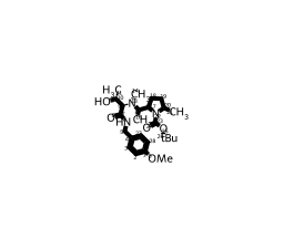 COc1ccc(CNC(=O)[C@H]([C@@H](C)O)N(C)C(C)C2CCC(C)N2C(=O)OC(C)(C)C)cc1